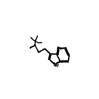 CN(CCc1c[nH]c2ccccc12)C(C)(C)C